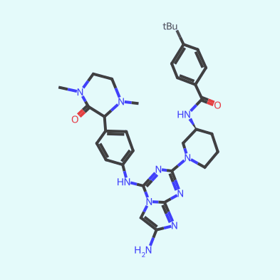 CN1CCN(C)C(c2ccc(Nc3nc(N4CCC[C@H](NC(=O)c5ccc(C(C)(C)C)cc5)C4)nc4nc(N)cn34)cc2)C1=O